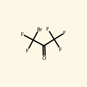 O=C(C(F)(F)F)C(F)(F)Br